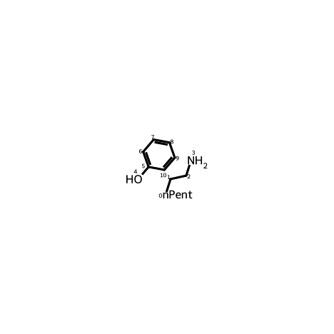 CCCCCCCN.Oc1ccccc1